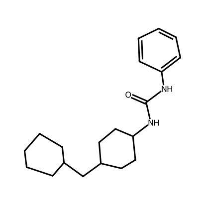 O=C(Nc1ccccc1)NC1CCC(CC2CCCCC2)CC1